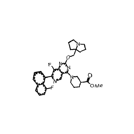 COC(=O)C1CCCN(c2nc(OCC34CCCN3CCC4)nc3c(F)c(-c4cccc5cccc(F)c45)ncc23)C1